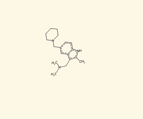 Cc1[nH]c2ccc(CN3CCCCC3)cc2c1CN(C)C